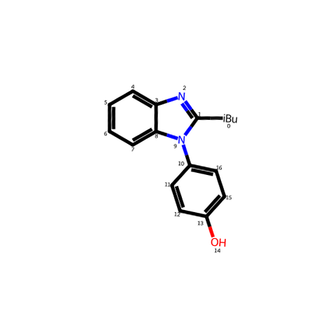 CCC(C)c1nc2ccccc2n1-c1ccc(O)cc1